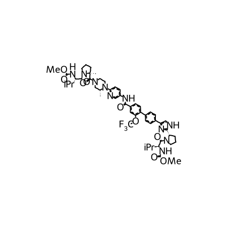 COC(=O)N[C@H](C(=O)N1CCC[C@H]1c1nc(-c2ccc(-c3ccc(C(=O)Nc4ccc(N5CCN(C(=O)[C@]6(C)CCCN6C(=O)[C@@H](NC(=O)OC)C(C)C)C[C@H]5C)nc4)cc3OC(F)(F)F)cc2)c[nH]1)C(C)C